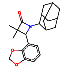 CC1(C)C(=O)N(C2C3CC4CC(C3)CC2C4)C1c1cccc2c1OCO2